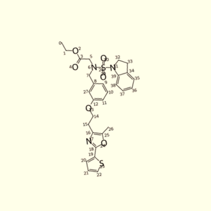 CCOC(=O)CN(Cc1cccc(OCCc2nc(-c3cccs3)oc2C)c1)S(=O)(=O)N1CCc2ccccc21